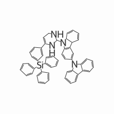 C1=CC2c3cc(-n4c5ccccc5c5ccccc54)ccc3N(C3NCC=C(c4cccc([Si](c5ccccc5)(c5ccccc5)c5ccccc5)c4)N3)C2C=C1